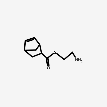 NCCSC(=O)C1CC2C=CC1C2